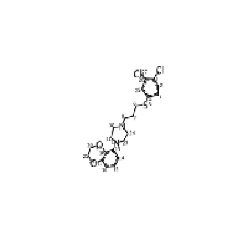 Clc1ccc(SCCCN2CCN(c3cccc4c3OCCO4)CC2)cc1Cl